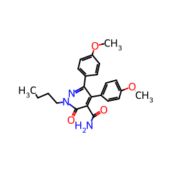 CCCCn1nc(-c2ccc(OC)cc2)c(-c2ccc(OC)cc2)c(C(N)=O)c1=O